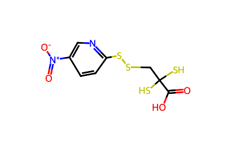 O=C(O)C(S)(S)CSSc1ccc([N+](=O)[O-])cn1